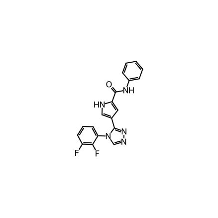 O=C(Nc1ccccc1)c1cc(-c2nncn2-c2cccc(F)c2F)c[nH]1